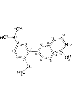 COc1ccc(B(O)O)cc1-c1ccc2c(O)nncc2c1